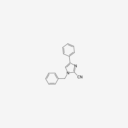 N#Cc1nc(-c2ccccc2)cn1Cc1ccccc1